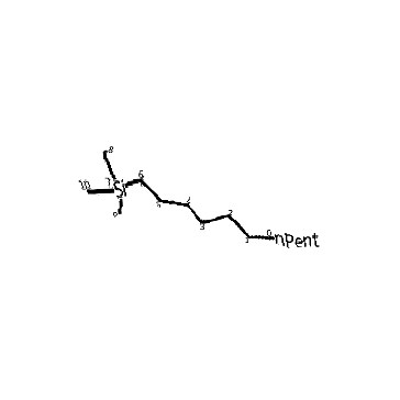 CCCCCCCCCC[CH][Si](C)(C)C